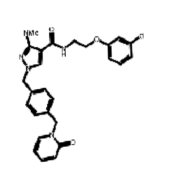 CNc1nn(Cc2ccc(Cn3ccccc3=O)cc2)cc1C(=O)NCCOc1cccc(Cl)c1